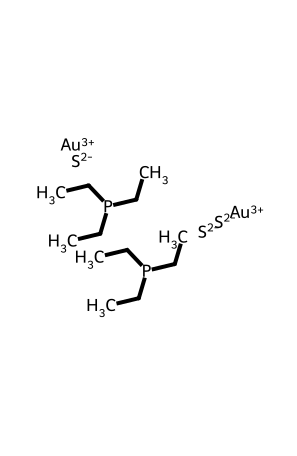 CCP(CC)CC.CCP(CC)CC.[Au+3].[Au+3].[S-2].[S-2].[S-2]